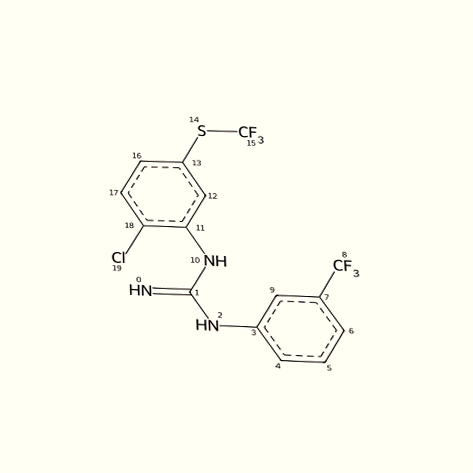 N=C(Nc1cccc(C(F)(F)F)c1)Nc1cc(SC(F)(F)F)ccc1Cl